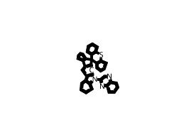 c1ccc2c(c1)Sc1ccccc1C21c2ccccc2-c2cc3c4ccccc4n(-c4cnc5ccccc5n4)c3cc21